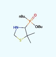 CCCCP(=O)(OCC(C)C)C1NCSC1(C)C